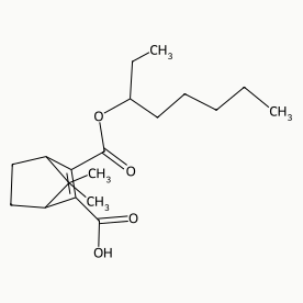 CCCCCC(CC)OC(=O)C1=C(C(=O)O)C2CCC1C2(C)C